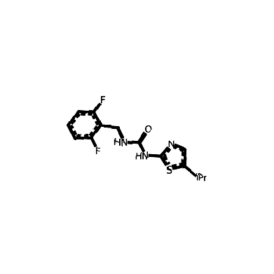 CC(C)c1cnc(NC(=O)NCc2c(F)cccc2F)s1